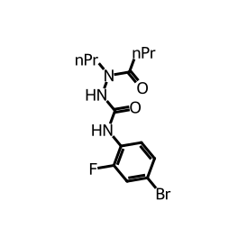 CCCC(=O)N(CCC)NC(=O)Nc1ccc(Br)cc1F